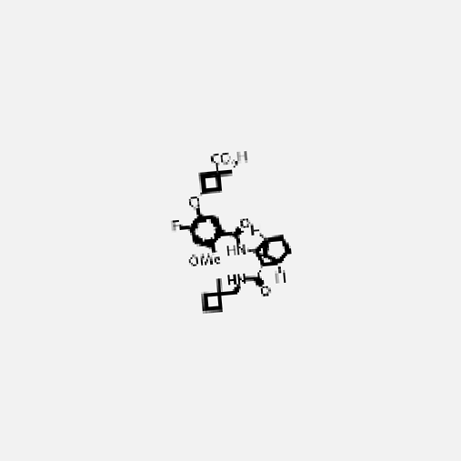 COc1cc(F)c(O[C@H]2C[C@@](C)(C(=O)O)C2)cc1C(=O)N[C@@H]1[C@H]2CC[C@H](C2)[C@@H]1C(=O)NCC1(C)CCC1